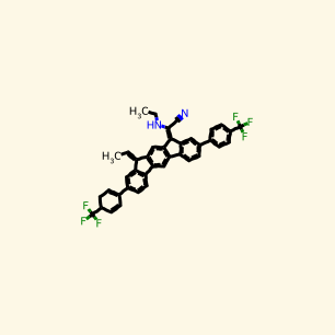 C/C=C1\c2cc(C3=CCC(C(F)(F)F)C=C3)ccc2-c2cc3c(cc21)/C(=C(/C#N)NCC)c1cc(-c2ccc(C(F)(F)F)cc2)ccc1-3